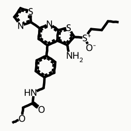 CCCC[S+]([O-])c1sc2nc(-c3nccs3)cc(-c3ccc(CNC(=O)COC)cc3)c2c1N